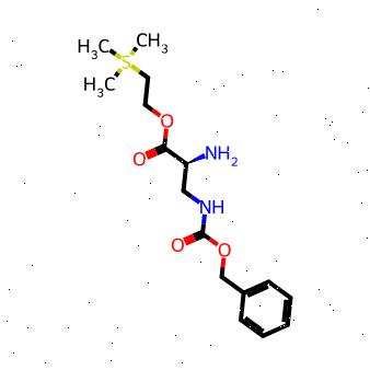 CS(C)(C)CCOC(=O)[C@@H](N)CNC(=O)OCc1ccccc1